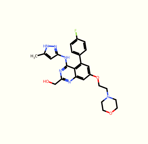 Cc1cc(Nc2nc(CO)nc3cc(OCCN4CCOCC4)cc(-c4ccc(F)cc4)c23)n[nH]1